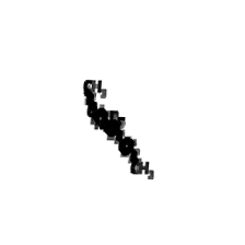 CCCCCOc1ccc(-c2ccc(CC[C@H]3CC[C@H](CCCC)CC3)c(F)c2F)nn1